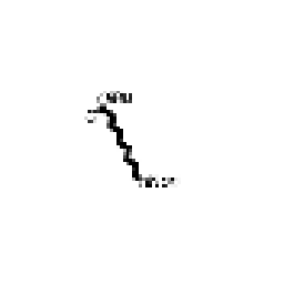 CCCCCCCCCCCCCCCC=CC(=O)OCC(C)C